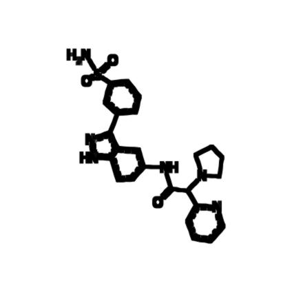 NS(=O)(=O)c1cccc(-c2n[nH]c3ccc(NC(=O)C(c4ccccn4)N4CCCC4)cc23)c1